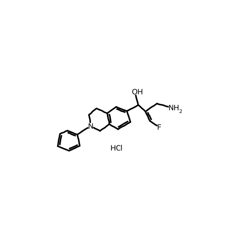 Cl.NCC(=CF)C(O)c1ccc2c(c1)CCN(c1ccccc1)C2